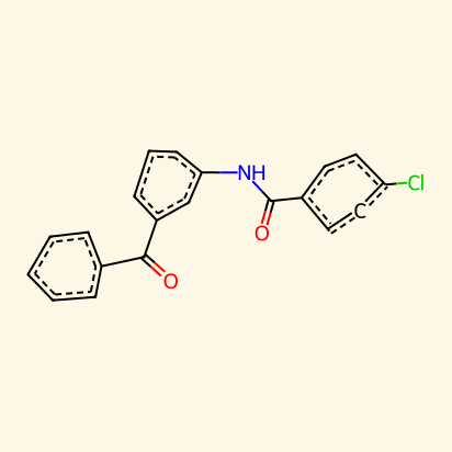 O=C(Nc1cccc(C(=O)c2ccccc2)c1)c1ccc(Cl)cc1